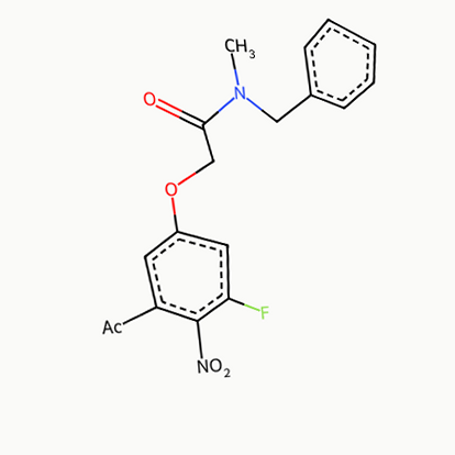 CC(=O)c1cc(OCC(=O)N(C)Cc2ccccc2)cc(F)c1[N+](=O)[O-]